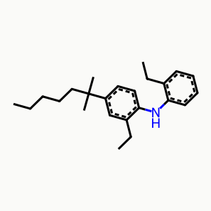 CCCCCC(C)(C)c1ccc(Nc2ccccc2CC)c(CC)c1